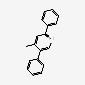 C/C=C(\C(C)=C/C(=N)c1ccccc1)c1ccccc1